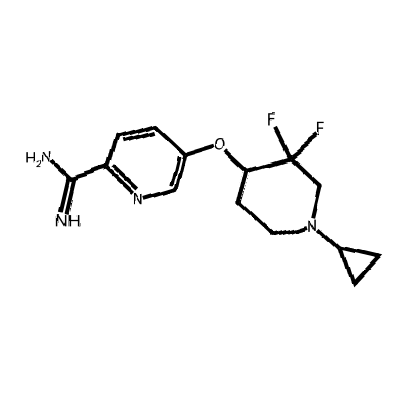 N=C(N)c1ccc(OC2CCN(C3CC3)CC2(F)F)cn1